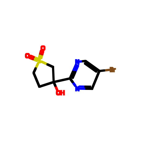 O=S1(=O)CCC(O)(c2ncc(Br)cn2)C1